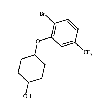 OC1CCC(Oc2cc(C(F)(F)F)ccc2Br)CC1